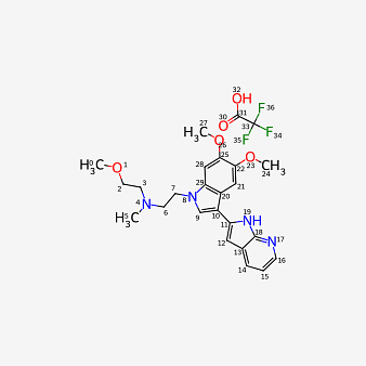 COCCN(C)CCn1cc(-c2cc3cccnc3[nH]2)c2cc(OC)c(OC)cc21.O=C(O)C(F)(F)F